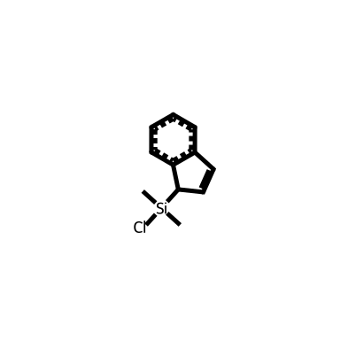 C[Si](C)(Cl)C1C=Cc2ccccc21